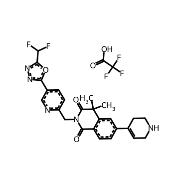 CC1(C)C(=O)N(Cc2ccc(-c3nnc(C(F)F)o3)cn2)C(=O)c2ccc(C3=CCNCC3)cc21.O=C(O)C(F)(F)F